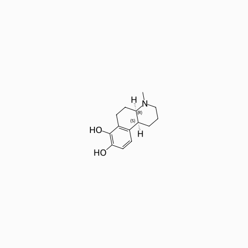 CN1CCC[C@H]2c3ccc(O)c(O)c3CC[C@H]21